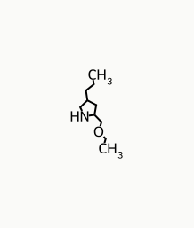 CCCC1CNC(COCC)C1